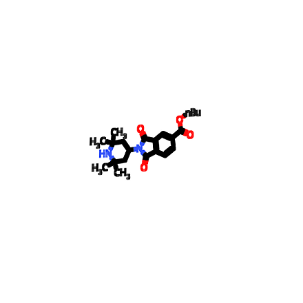 CCCCOC(=O)c1ccc2c(c1)C(=O)N(C1CC(C)(C)NC(C)(C)C1)C2=O